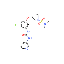 CN(C)S(=O)(=O)N1CCC(Oc2cc(F)cc(NC(=O)Nc3cccnc3)c2)C1